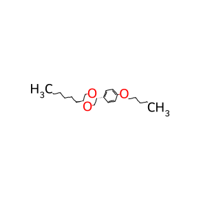 CCCCCC[C@H]1CO[C@H](c2ccc(OCCCCC)cc2)CO1